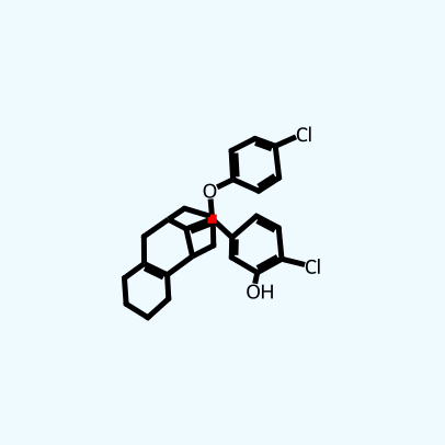 Oc1cc(/C(Oc2ccc(Cl)cc2)=C2/C3CCCC2C2=C(CCCC2)C3)ccc1Cl